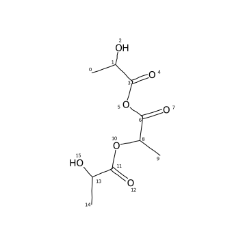 CC(O)C(=O)OC(=O)C(C)OC(=O)C(C)O